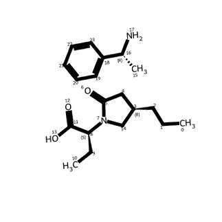 CCC[C@@H]1CC(=O)N([C@@H](CC)C(=O)O)C1.C[C@@H](N)c1ccccc1